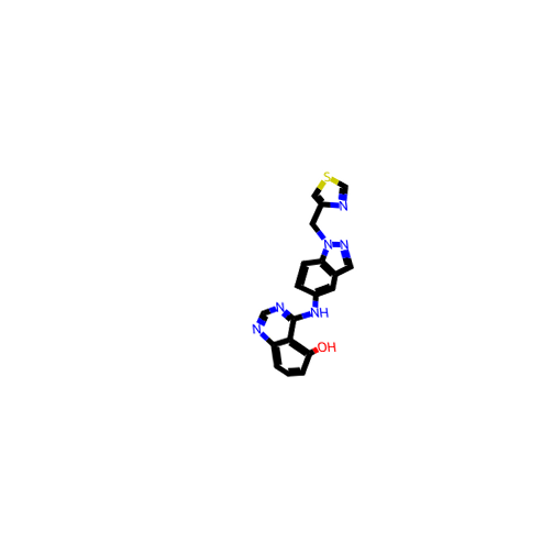 Oc1cccc2ncnc(Nc3ccc4c(cnn4Cc4cscn4)c3)c12